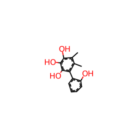 Cc1c(C)c(-c2ccccc2O)c(O)c(O)c1O